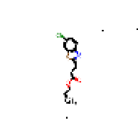 C=CCOC(=O)CCc1nc2ccc(Cl)cc2s1